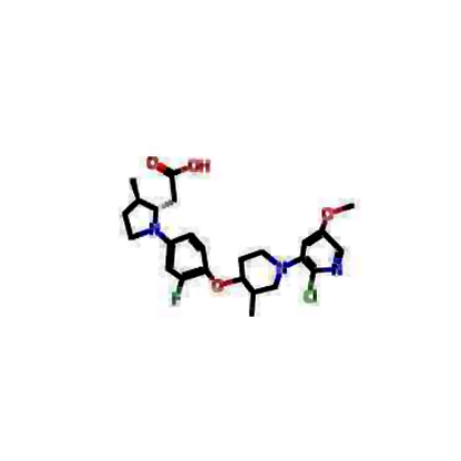 COc1cnc(Cl)c(N2CCC(Oc3ccc(N4CC[C@@H](C)[C@@H]4CC(=O)O)cc3F)C(C)C2)c1